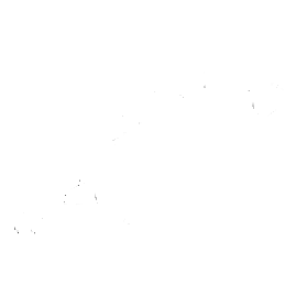 Cc1cc(-n2cn[nH]2)cnc1OCC[C@@H]1C[C@@H]1C1CCN(C(=O)OCc2ccccc2)CC1